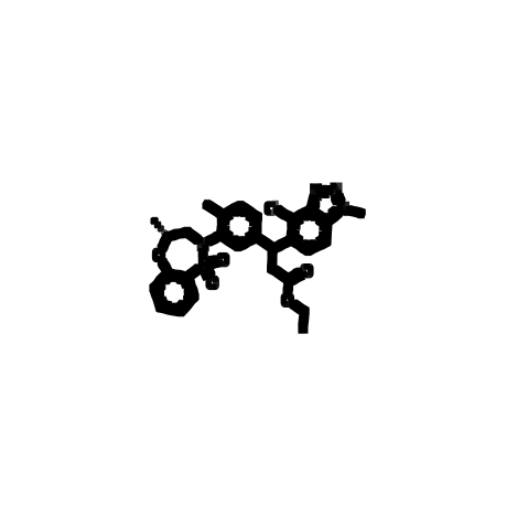 CCOC(=O)CC(c1ccc(C)c(N2C[C@@H](C)Oc3ccccc3S2(=O)=O)c1)c1ccc2c(nnn2C)c1Cl